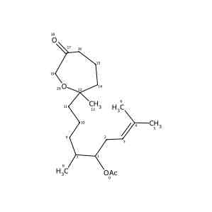 CC(=O)OC(CC=C(C)C)C(C)CCCC1(C)CCCC(=O)CO1